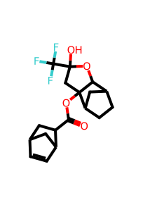 O=C(OC12CC(O)(C(F)(F)F)OC1C1CCC2C1)C1CC2C=CC1C2